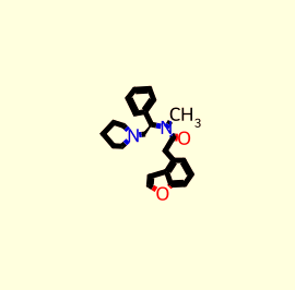 CN(C(=O)Cc1cccc2occc12)[C@@H](CN1CCCCC1)c1ccccc1